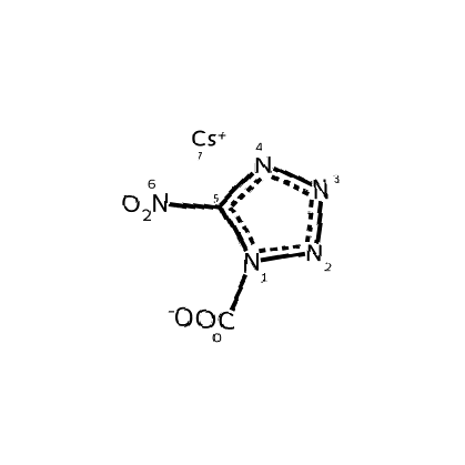 O=C([O-])n1nnnc1[N+](=O)[O-].[Cs+]